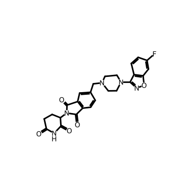 O=C1CCC(N2C(=O)c3ccc(CN4CCN(c5noc6cc(F)ccc56)CC4)cc3C2=O)C(=O)N1